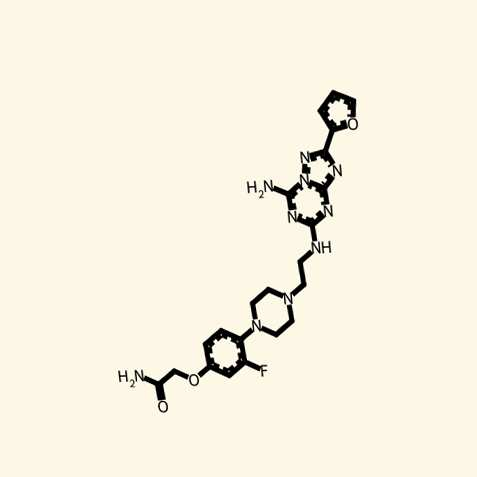 NC(=O)COc1ccc(N2CCN(CCNc3nc(N)n4nc(-c5ccco5)nc4n3)CC2)c(F)c1